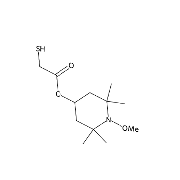 CON1C(C)(C)CC(OC(=O)CS)CC1(C)C